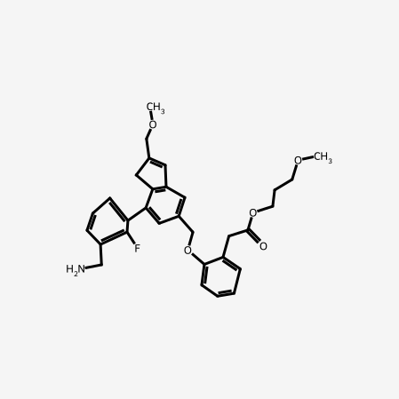 COCCCOC(=O)Cc1ccccc1OCc1cc2c(c(-c3cccc(CN)c3F)c1)CC(COC)=C2